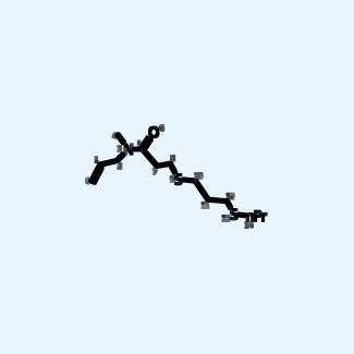 C=CCN(C)C(=O)CCSCCCSCCC